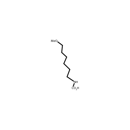 COCCCCCCNC(=O)O